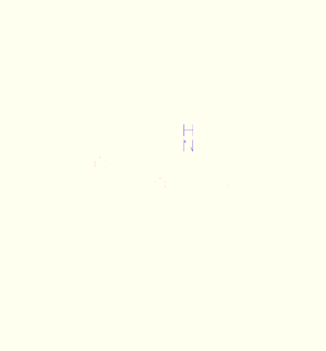 Cc1cccc(C2=C(NC3CC3)OC(c3cccc4ccccc34)C2=O)c1C